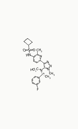 Cc1nc(-c2nnn(C)c2N(C(=O)O)[C@H](C)c2cccc(F)c2)ccc1NS(=O)(=O)C1CCC1